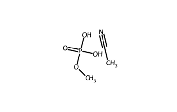 CC#N.COP(=O)(O)O